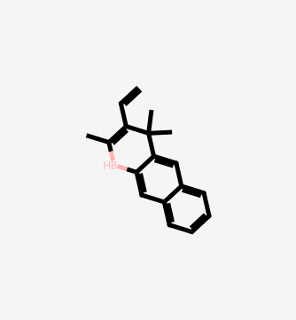 C=CC1=C(C)Bc2cc3ccccc3cc2C1(C)C